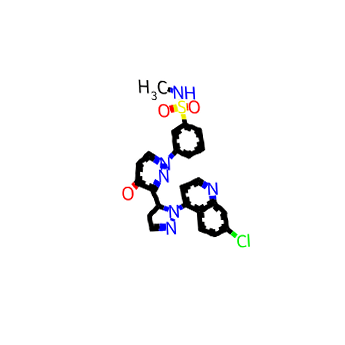 CNS(=O)(=O)c1cccc(-n2ccc(=O)c(C3CC=NN3c3ccnc4cc(Cl)ccc34)n2)c1